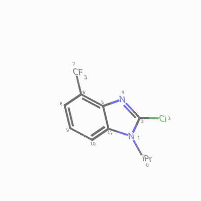 CC(C)n1c(Cl)nc2c(C(F)(F)F)cccc21